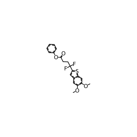 COc1cc2cc(C(F)(F)CCC(=O)Oc3ccccc3)sc2cc1OC